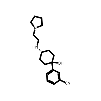 N#Cc1cccc([C@]2(O)CC[C@H](NCCN3CCCC3)CC2)c1